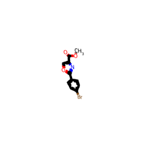 COC(=O)c1coc(-c2ccc(Br)cc2)n1